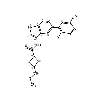 N#Cc1ccc(Cl)c(-c2ccc3[nH]nc(NC(=O)C4CC(NCC(F)(F)F)C4)c3c2)c1